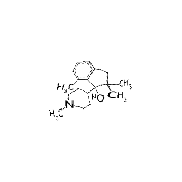 Cc1cccc2c1C(O)(C1CCN(C)CC1)C(C)(C)C2